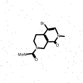 CNC(=O)N1CCc2c(Br)cn(C)c(=O)c2C1